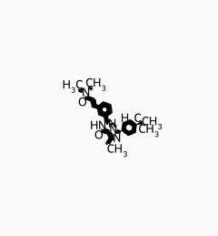 CCc1nc([C@H]2CC[C@@H](C(C)(C)C)CC2)n2nc(-c3cccc(/C=C/C(=O)N(CC)CC)c3)[nH]c(=O)c12